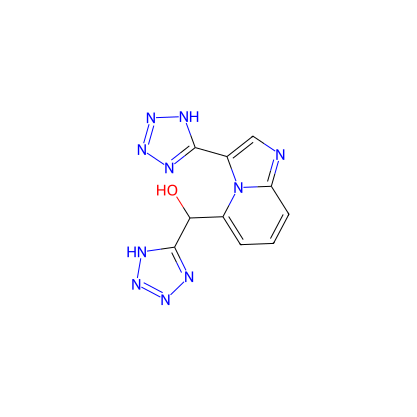 OC(c1nnn[nH]1)c1cccc2ncc(-c3nnn[nH]3)n12